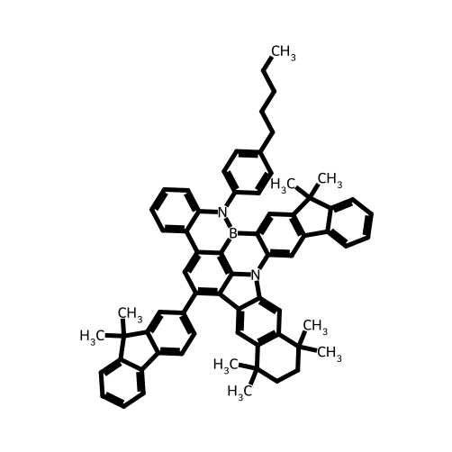 CCCCCc1ccc(N2B3c4cc5c(cc4-n4c6cc7c(cc6c6c(-c8ccc9c(c8)C(C)(C)c8ccccc8-9)cc(c3c64)-c3ccccc32)C(C)(C)CCC7(C)C)-c2ccccc2C5(C)C)cc1